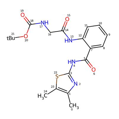 Cc1nc(NC(=O)c2ccccc2NC(=O)CNC(=O)OC(C)(C)C)sc1C